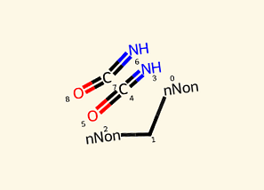 CCCCCCCCCCCCCCCCCCC.N=C=O.N=C=O